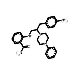 NC(=O)c1ccccc1NCC(Cc1ccc(N)cc1)N1CCN(c2ccccc2)CC1